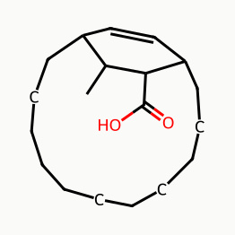 CC1C2C=CC(CCCCCCCCCCC2)C1C(=O)O